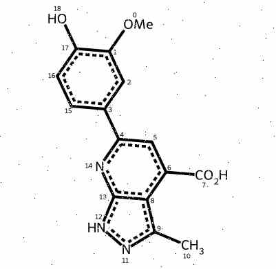 COc1cc(-c2cc(C(=O)O)c3c(C)n[nH]c3n2)ccc1O